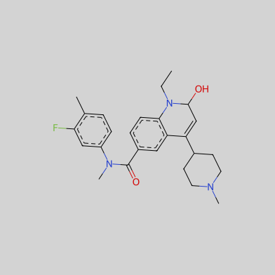 CCN1c2ccc(C(=O)N(C)c3ccc(C)c(F)c3)cc2C(C2CCN(C)CC2)=CC1O